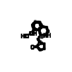 Cl.O=C1CCCN1C[C@H]1NCCc2cccc(O)c21